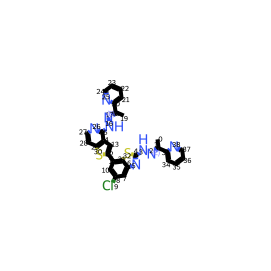 C/C(=N\Nc1nc2cc(Cl)cc(-c3cc4c(N/N=C(\C)c5ccccn5)nccc4s3)c2s1)c1ccccn1